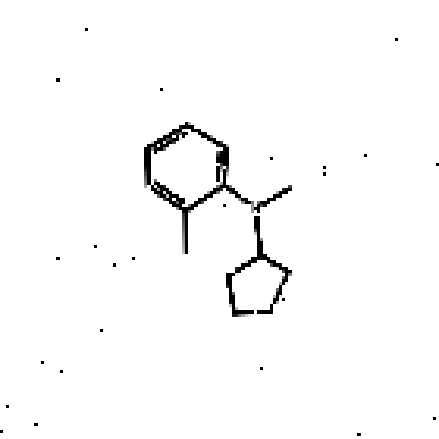 [CH2]c1ccccc1N(C)C1CCCC1